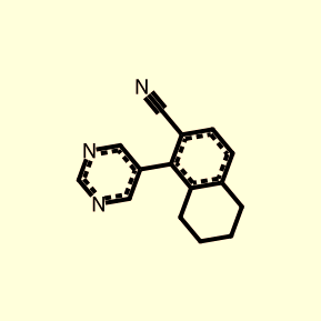 N#Cc1ccc2c(c1-c1cncnc1)CCCC2